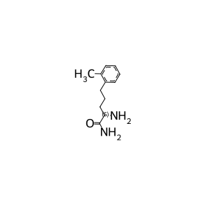 Cc1ccccc1CCC[C@H](N)C(N)=O